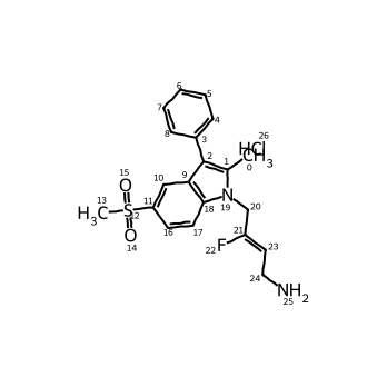 Cc1c(-c2ccccc2)c2cc(S(C)(=O)=O)ccc2n1C/C(F)=C/CN.Cl